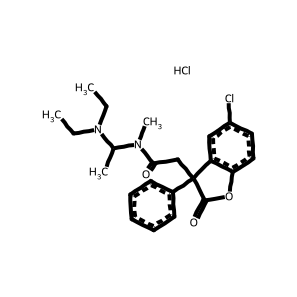 CCN(CC)C(C)N(C)C(=O)CC1(c2ccccc2)C(=O)Oc2ccc(Cl)cc21.Cl